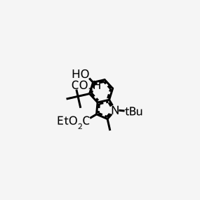 CCOC(=O)c1c(C)n(C(C)(C)C)c2ccc(O)c(C(C)(C)C(=O)O)c12